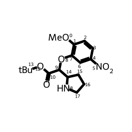 COc1ccc([N+](=O)[O-])cc1OC(C(=O)OC(C)(C)C)C1CCCN1